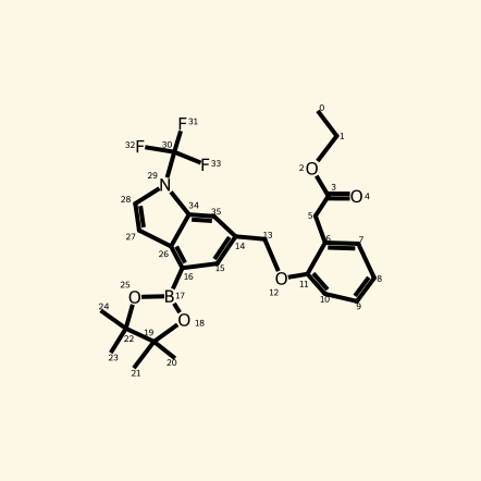 CCOC(=O)Cc1ccccc1OCc1cc(B2OC(C)(C)C(C)(C)O2)c2ccn(C(F)(F)F)c2c1